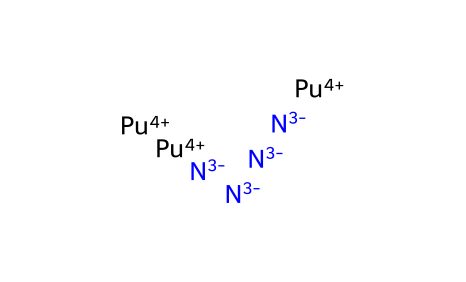 [N-3].[N-3].[N-3].[N-3].[Pu+4].[Pu+4].[Pu+4]